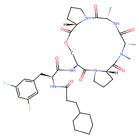 C[C@@H]1NC(=O)[C@H](C)N(C)C(=O)[C@@H]2CCCN2C(=O)[C@@H](NC(=O)[C@H](Cc2cc(F)cc(F)c2)NC(=O)CCC2CCCCC2)COC(=O)[C@@H]2CCCN2C1=O